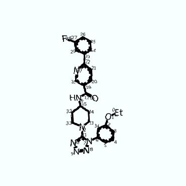 CCOc1cccc(-n2nnnc2N2CCC(NC(=O)c3ccc(-c4cccc(F)c4)nc3)CC2)c1